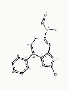 CN(N=O)C1=Nc2sc(Cl)cc2C(c2ccccc2)=NC1